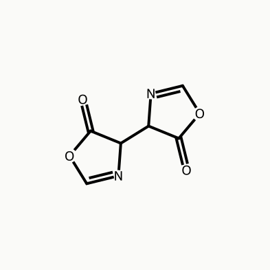 O=C1OC=NC1C1N=COC1=O